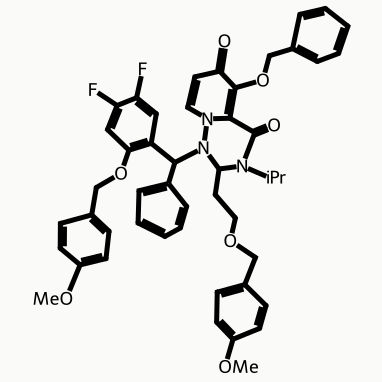 COc1ccc(COCCC2N(C(C)C)C(=O)c3c(OCc4ccccc4)c(=O)ccn3N2C(c2ccccc2)c2cc(F)c(F)cc2OCc2ccc(OC)cc2)cc1